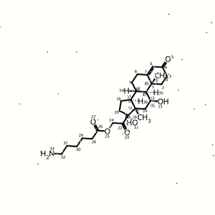 C[C@]12CCC(=O)C=C1CC[C@@H]1[C@@H]2[C@@H](O)C[C@@]2(C)[C@H]1CC[C@]2(O)C(=O)COC(=O)CCCCCN